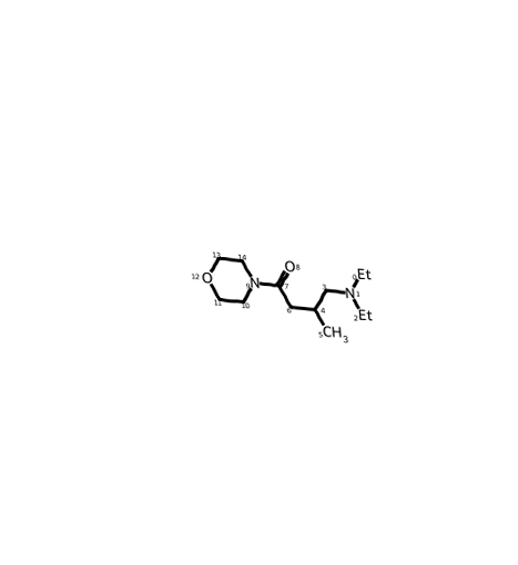 CCN(CC)CC(C)CC(=O)N1CCOCC1